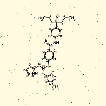 CCCC(N)(CCC)c1ccc(NC(=O)c2ccc(CN(Cc3cc(C)on3)Cc3ncc[nH]3)cc2)cc1